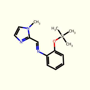 Cn1ccnc1C=Nc1ccccc1O[Si](C)(C)C